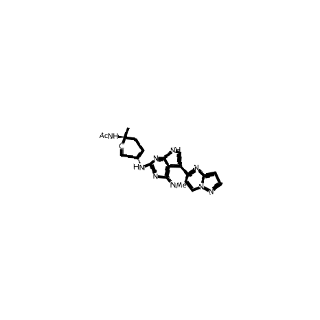 CNc1nc(N[C@H]2CC[C@](C)(NC(C)=O)CC2)nc2[nH]cc(-c3ccn4nccc4n3)c12